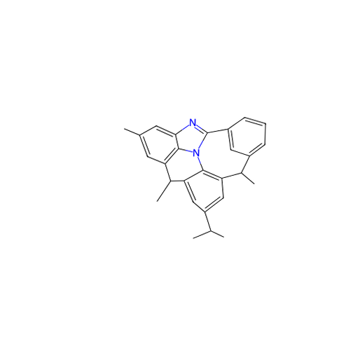 Cc1cc2c3c(c1)nc1n3-c3c(cc(C(C)C)cc3C2C)C(C)c2cccc-1c2